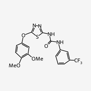 COc1ccc(Oc2nnc(NC(=O)Nc3cccc(C(F)(F)F)c3)s2)cc1OC